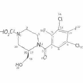 O=C(O)N1CCN(C(=O)c2cc(Cl)c(I)c(Cl)c2F)[C@@H](CO)C1